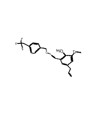 C=CCc1cc(C=NOCc2ccc(C(F)(F)F)cc2)c(O)c(OC)c1